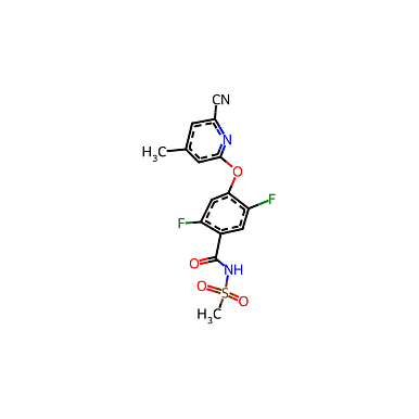 Cc1cc(C#N)nc(Oc2cc(F)c(C(=O)NS(C)(=O)=O)cc2F)c1